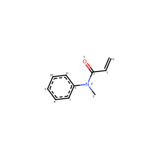 [CH]=CC(=O)N(C)c1ccccc1